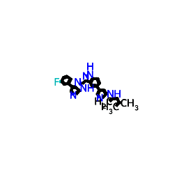 C=C(CC(C)C)Nc1cncc(-c2ccc3[nH]nc(-c4nc5c(-c6cccc(F)c6)cncc5[nH]4)c3c2)c1